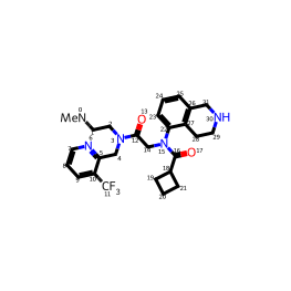 CNCCN(Cc1ncccc1C(F)(F)F)C(=O)CN(C(=O)C1CCC1)c1cccc2c1CCNC2